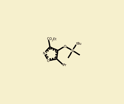 CCOC(=O)c1noc(C(C)C)c1O[Si](C)(C)C(C)(C)C